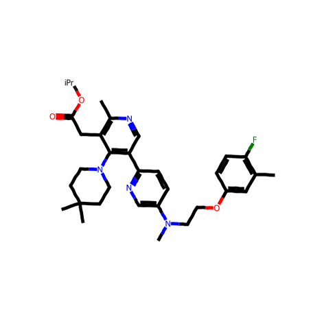 Cc1cc(OCCN(C)c2ccc(-c3cnc(C)c(CC(=O)OC(C)C)c3N3CCC(C)(C)CC3)nc2)ccc1F